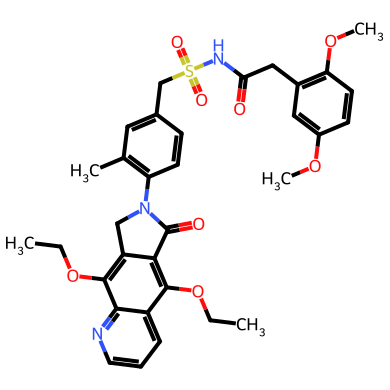 CCOc1c2c(c(OCC)c3ncccc13)CN(c1ccc(CS(=O)(=O)NC(=O)Cc3cc(OC)ccc3OC)cc1C)C2=O